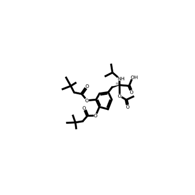 CC(=O)O[C@](Cc1ccc(OC(=O)CC(C)(C)C)c(OC(=O)CC(C)(C)C)c1)(NC(C)C)C(=O)O